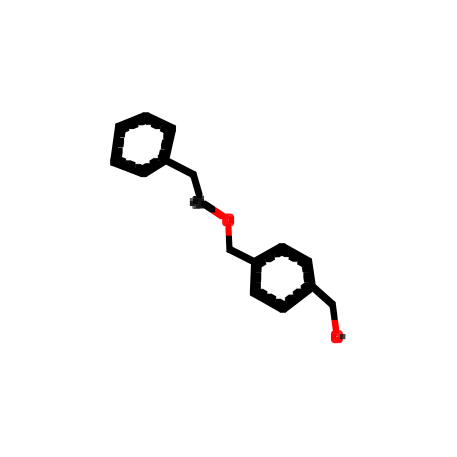 [O]Cc1ccc(CO[Si]Cc2ccccc2)cc1